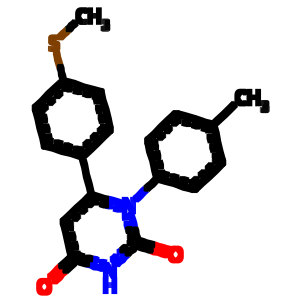 CSc1ccc(-c2cc(=O)[nH]c(=O)n2-c2ccc(C)cc2)cc1